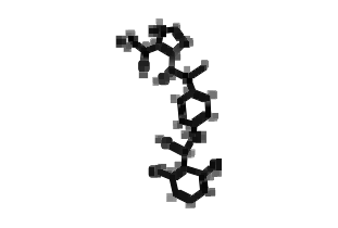 CN(C(=O)c1nc[nH]c1C(N)=O)c1ccc(NC(=O)c2c(Cl)cccc2Cl)cc1